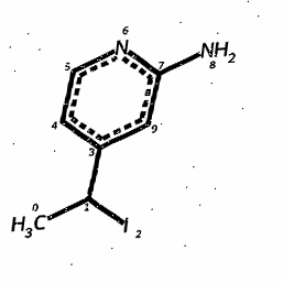 CC(I)c1ccnc(N)c1